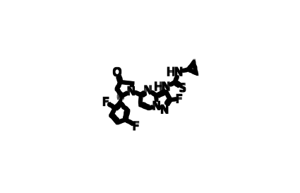 O=C1C[C@H](c2cc(F)ccc2F)N(c2ccn3nc(F)c(NC(=S)NC4CC4)c3n2)C1